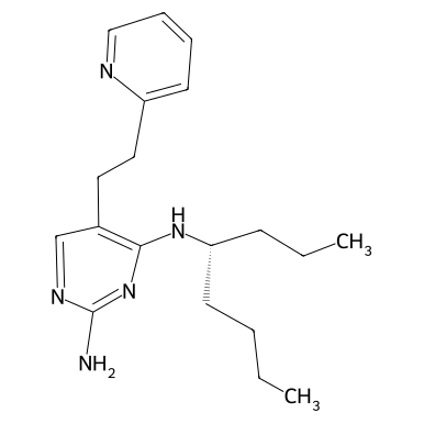 CCCC[C@@H](CCC)Nc1nc(N)ncc1CCc1ccccn1